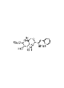 CCCCCC/C(=C\c1ccccc1)C1OC[C@H]2OC(OC)[C@H](O)[C@@H](O)[C@@H]2O1